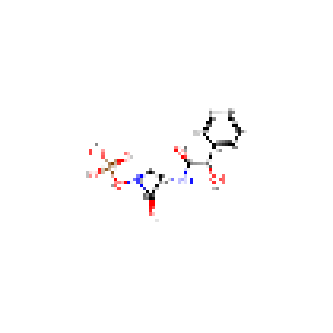 O=C(N[C@H]1CN(OS(=O)(=O)O)C1=O)C(O)c1ccccc1